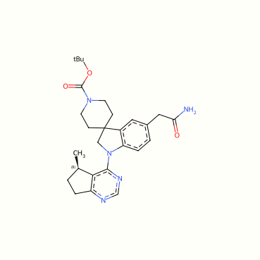 C[C@@H]1CCc2ncnc(N3CC4(CCN(C(=O)OC(C)(C)C)CC4)c4cc(CC(N)=O)ccc43)c21